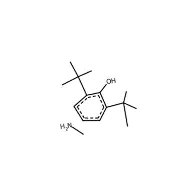 CC(C)(C)c1cccc(C(C)(C)C)c1O.CN